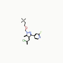 C=C(Cl)/C=c1/c(-c2ccnc(F)c2)nn(COCC[Si](C)(C)C)c1=C